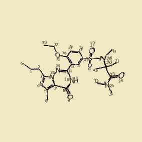 CCCc1nc(C)c2c(=O)[nH]c(-c3cc(S(=O)(=O)N(C)C(C)(C)C(=O)N(C)C)ccc3OCC)nn12